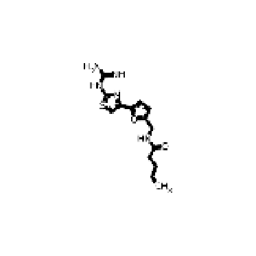 CCCCC(=O)NCc1ccc(-c2csc(NC(=N)N)n2)o1